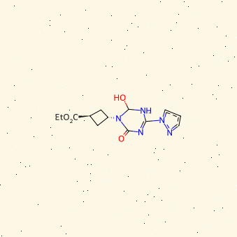 CCOC(=O)[C@H]1C[C@H](N2C(=O)N=C(n3cccn3)NC2O)C1